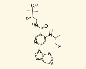 CC(CF)Nc1cc(-n2ccc3cncnc32)ncc1C(=O)NC[C@@H](F)C(C)(C)O